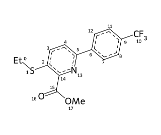 CCSc1ccc(-c2ccc(C(F)(F)F)cc2)nc1C(=O)OC